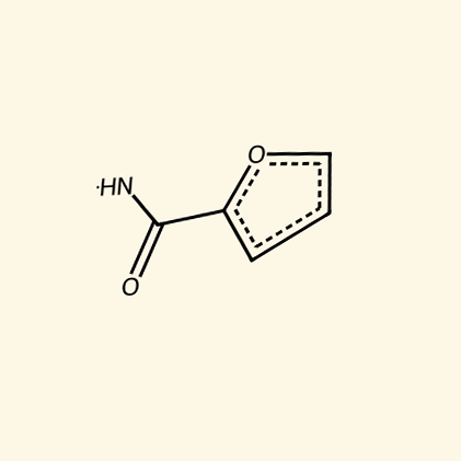 [NH]C(=O)c1ccco1